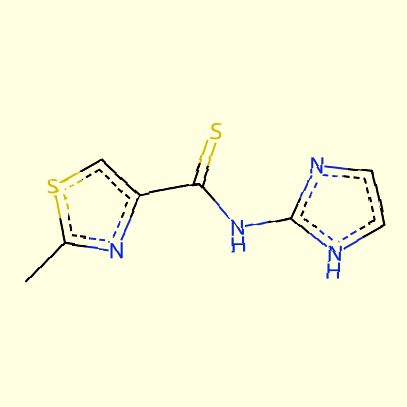 Cc1nc(C(=S)Nc2ncc[nH]2)cs1